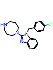 Clc1ccc(Cn2c(N3CCCNCCC3)nc3ccccc32)cc1